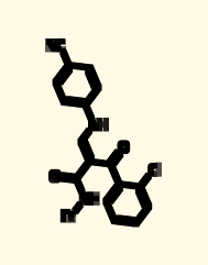 CCNC(=O)C(=CNc1ccc(C#N)cc1)C(=O)c1ccccc1Cl